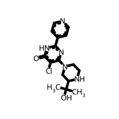 CC(C)(O)C1CN(c2nc(-c3ccncc3)[nH]c(=O)c2Cl)CCN1